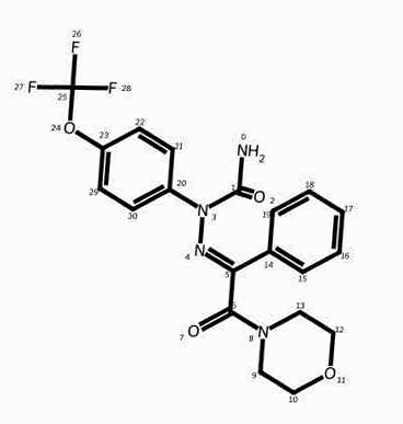 NC(=O)N(/N=C(/C(=O)N1CCOCC1)c1ccccc1)c1ccc(OC(F)(F)F)cc1